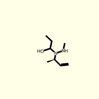 C=C[C@@H](C)N(NC)C(O)CC